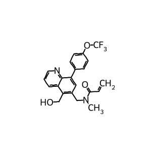 C=CC(=O)N(C)Cc1cc(-c2ccc(OC(F)(F)F)cc2)c2ncccc2c1CO